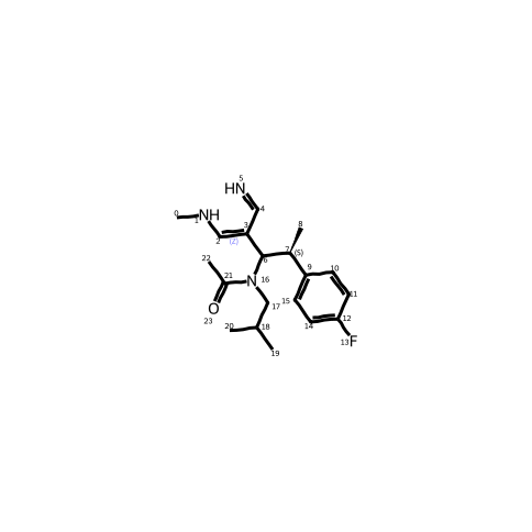 CN/C=C(\C=N)C([C@@H](C)c1ccc(F)cc1)N(CC(C)C)C(C)=O